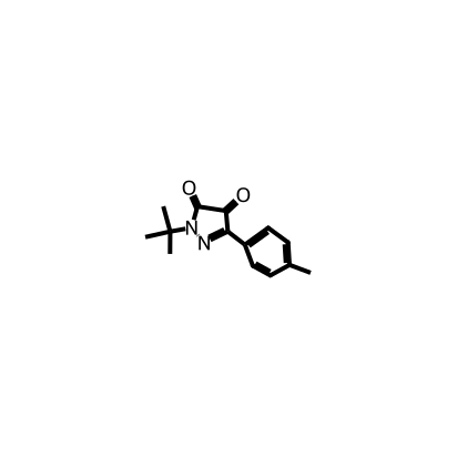 Cc1ccc(C2=NN(C(C)(C)C)C(=O)C2=O)cc1